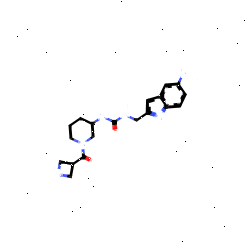 Nc1ccc2[nH]c(CNC(=O)NC3CCCN(C(=O)C4CNC4)C3)cc2c1